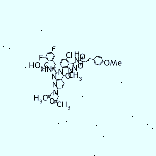 COc1ccc(CCS(=O)(=O)Nc2nn(C)c3c(-n4c([C@H](Cc5cc(F)cc(F)c5)NC(=O)O)nc5nc(N6C[C@@H](C)O[C@@H](C)C6)ccc5c4=O)ccc(Cl)c23)cc1